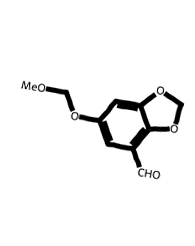 COCOc1cc(C=O)c2c(c1)OCO2